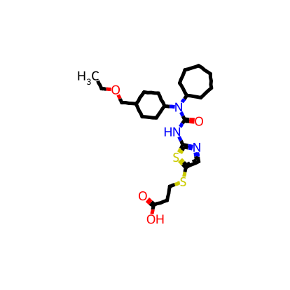 CCOCC1CCC(N(C(=O)Nc2ncc(SCCC(=O)O)s2)C2CCCCCC2)CC1